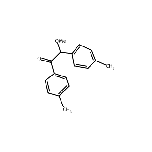 COC(C(=O)c1ccc(C)cc1)c1ccc(C)cc1